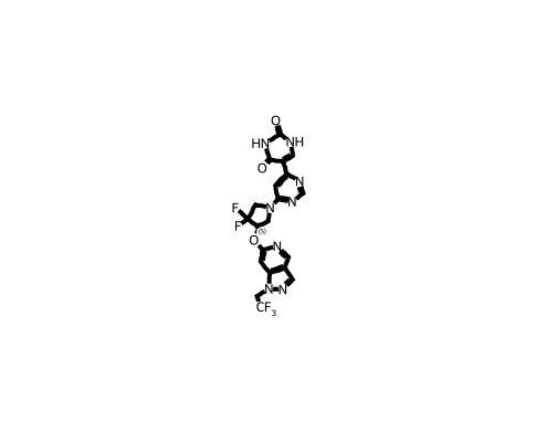 O=c1[nH]cc(-c2cc(N3C[C@H](Oc4cc5c(cn4)cnn5CC(F)(F)F)C(F)(F)C3)ncn2)c(=O)[nH]1